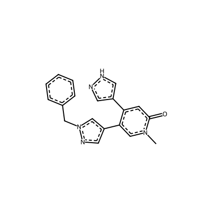 Cn1cc(-c2cnn(Cc3ccccc3)c2)c(-c2cn[nH]c2)cc1=O